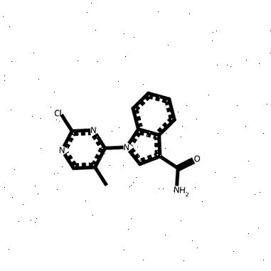 Cc1cnc(Cl)nc1-n1cc(C(N)=O)c2ccccc21